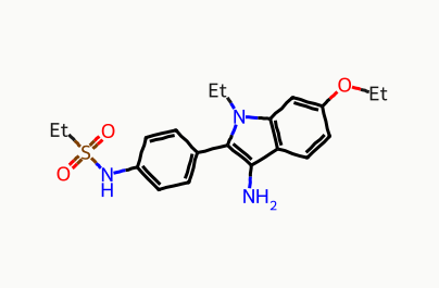 CCOc1ccc2c(N)c(-c3ccc(NS(=O)(=O)CC)cc3)n(CC)c2c1